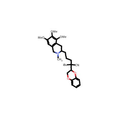 CCC(C)C(C#N)(CCCC1Cc2c(cc(OC)c(OC)c2OC)CN1C)C1COc2ccccc2O1